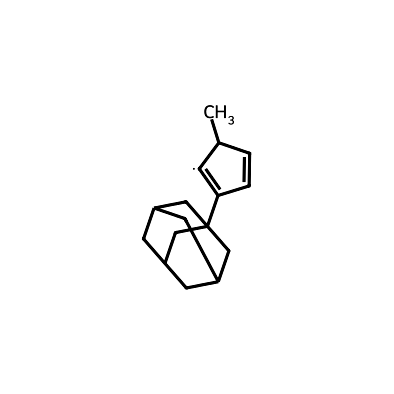 CC1[C]=C(C23CC4CC(CC(C4)C2)C3)C=C1